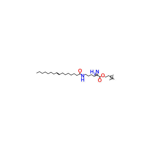 CCCCCCCC=CCCCCCCC(=O)NCCCC[C@H](N)C(=O)OCC[Si](C)(C)C